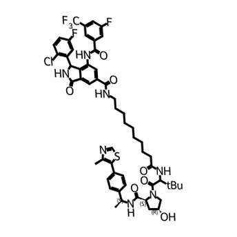 Cc1ncsc1-c1ccc([C@H](C)NC(=O)[C@@H]2C[C@@H](O)CN2C(=O)C(NC(=O)CCCCCCCCCNC(=O)c2cc(NC(=O)c3cc(F)cc(C(F)(F)F)c3)c3c(c2)C(=O)NC3c2cc(F)ccc2Cl)C(C)(C)C)cc1